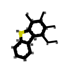 CCc1c(C)c(C)c(C)c2sc3ccccc3c12